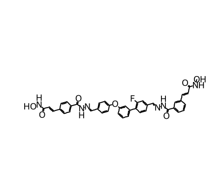 O=C(/C=C/c1ccc(C(=O)N/N=C/c2ccc(Oc3cccc(-c4ccc(/C=N/NC(=O)c5cccc(/C=C/C(=O)NO)c5)cc4F)c3)cc2)cc1)NO